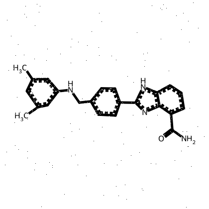 Cc1cc(C)cc(NCc2ccc(-c3nc4c(C(N)=O)cccc4[nH]3)cc2)c1